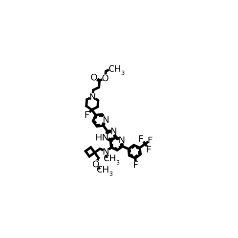 CCOC(=O)CCN1CCC(F)(c2ccc(-c3nc4nc(-c5cc(F)cc(C(F)(F)F)c5)cc(N(C)CC5(COC)CCC5)c4[nH]3)nc2)CC1